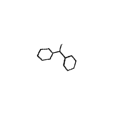 [CH2]C(C1CCCCC1)C1CCCCC1